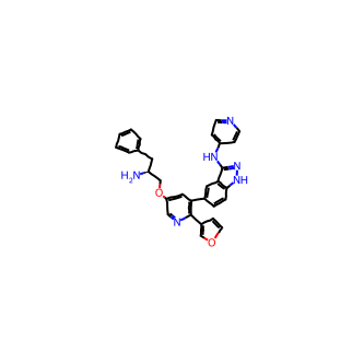 N[C@H](COc1cnc(-c2ccoc2)c(-c2ccc3[nH]nc(Nc4ccncc4)c3c2)c1)Cc1ccccc1